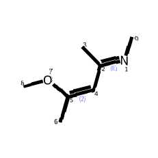 C/N=C(C)/C=C(/C)OC